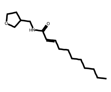 CCCCCCCCC=CC(=O)NCC1CCOC1